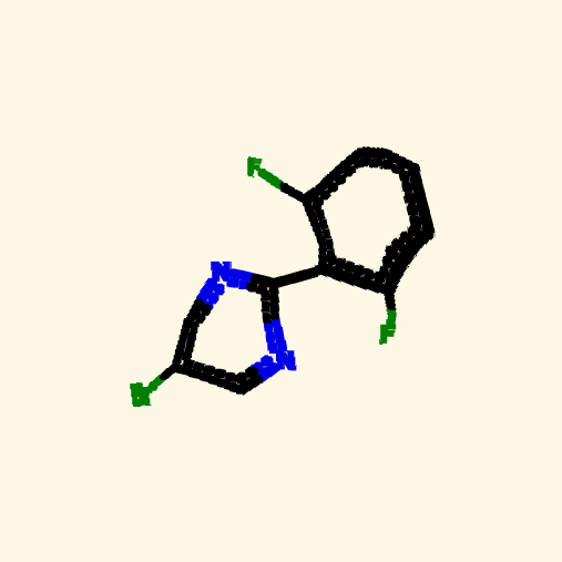 Fc1cccc(F)c1-c1ncc(Br)cn1